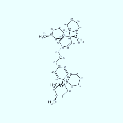 CO[C@]1(C2([C@H]3CC[C@H](C)CC3)CCCCC2)C=C[C@@H](COC[C@H]2C=C[C@@](OC)(C3([C@H]4CC[C@H](C)CC4)CCCCC3)C=C2)C=C1